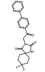 O=C(CN1C(=O)NC2(CCC(F)(F)CC2)C1=O)c1ccc(-c2cnccn2)cc1